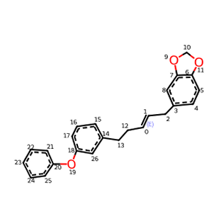 C(=C\Cc1ccc2c(c1)OCO2)/CCc1cccc(Oc2ccccc2)c1